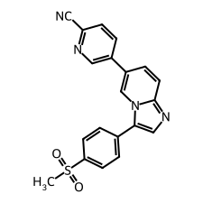 CS(=O)(=O)c1ccc(-c2cnc3ccc(-c4ccc(C#N)nc4)cn23)cc1